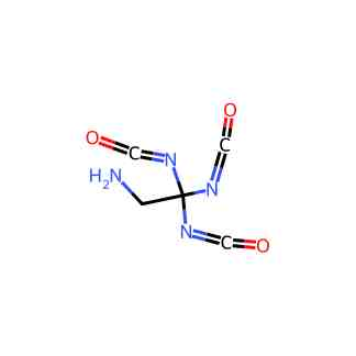 NCC(N=C=O)(N=C=O)N=C=O